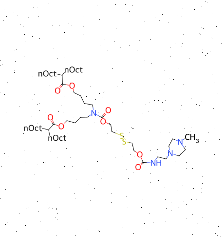 CCCCCCCCC(CCCCCCCC)C(=O)OCCCCN(CCCCOC(=O)C(CCCCCCCC)CCCCCCCC)C(=O)OCCSSCCOC(=O)NCCN1CCN(C)CC1